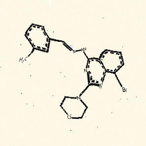 Cc1cccc(/C=N/Nc2nc(N3CCOCC3)nc3c(Br)cccc23)c1